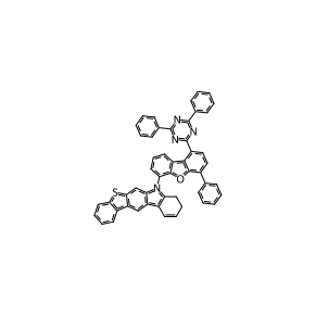 C1=Cc2c(n(-c3cccc4c3oc3c(-c5ccccc5)ccc(-c5nc(-c6ccccc6)nc(-c6ccccc6)n5)c34)c3cc4sc5ccccc5c4cc23)CC1